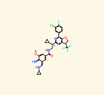 COC1=CC(C(=O)NC[C@H](c2cc3c(c(-c4ccc(F)c(Cl)c4)n2)OCC3C(F)(F)F)C2CC2)=C/C(=C/NC2CC2)C1=N